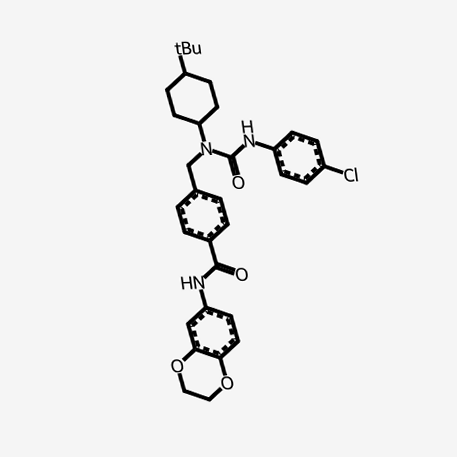 CC(C)(C)C1CCC(N(Cc2ccc(C(=O)Nc3ccc4c(c3)OCCO4)cc2)C(=O)Nc2ccc(Cl)cc2)CC1